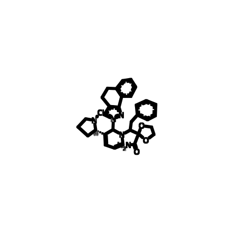 CN1CCC[C@H]1C1=CC=CN(C(Cc2ccccc2)C2(C(N)=O)OCCO2)C1n1cc2c(n1)-c1ccccc1CC2